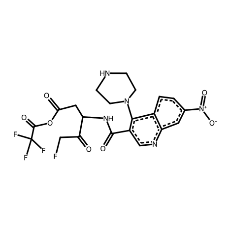 O=C(CC(NC(=O)c1cnc2cc([N+](=O)[O-])ccc2c1N1CCNCC1)C(=O)CF)OC(=O)C(F)(F)F